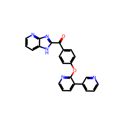 O=C(c1ccc(Oc2ncccc2-c2cccnc2)cc1)c1nc2ncccc2[nH]1